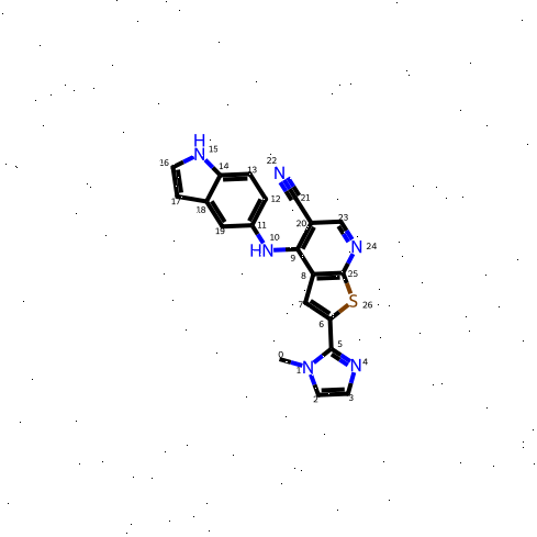 Cn1ccnc1-c1cc2c(Nc3ccc4[nH]ccc4c3)c(C#N)cnc2s1